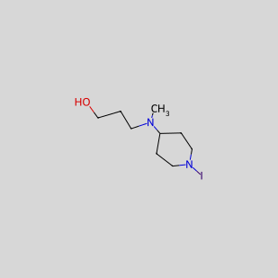 CN(CCCO)C1CCN(I)CC1